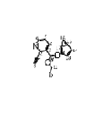 C#Cc1ncccc1C(=O)OCC.c1cc2cc-2c1